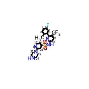 Cc1ccc(F)cc1-c1nc(NS(=O)(=O)c2ccnc(N3CCNCC3)c2)ccc1C(F)(F)F